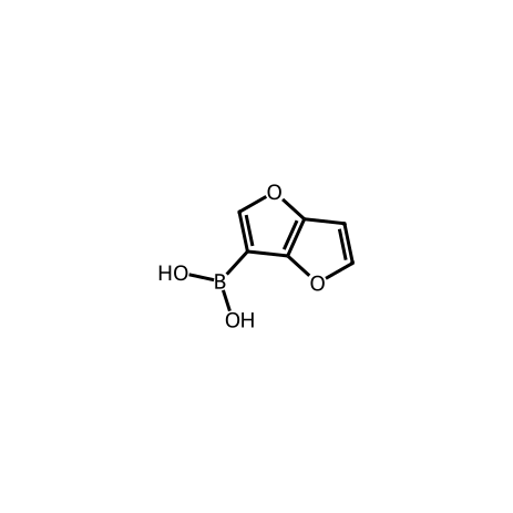 OB(O)c1coc2ccoc12